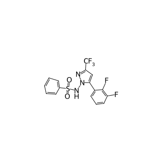 O=S(=O)(Nn1nc(C(F)(F)F)cc1-c1cccc(F)c1F)c1ccccc1